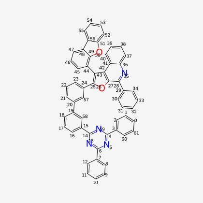 c1ccc(-c2nc(-c3ccccc3)nc(-c3cccc(-c4cccc(-c5oc6c(-c7ccccc7)nc7ccccc7c6c5-c5cccc6c5oc5ccccc56)c4)c3)n2)cc1